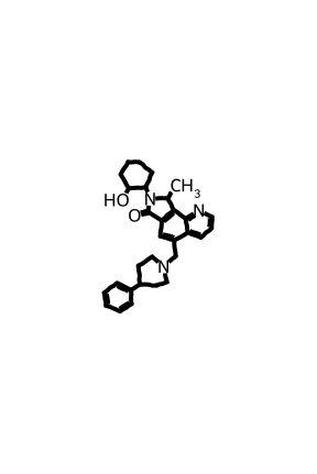 CC1c2c(cc(CN3CCC(c4ccccc4)CC3)c3cccnc23)C(=O)N1C1CCCCC1O